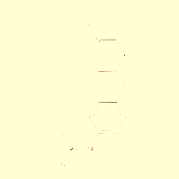 CCN1CCN(Cc2ccc(NC(=N)N)nc2)CC1